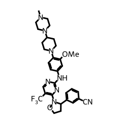 COc1cc(Nc2ncc(C(F)(F)F)c(N3OCCC3c3cccc(C#N)c3)n2)ccc1N1CCC(N2CCN(C)CC2)CC1